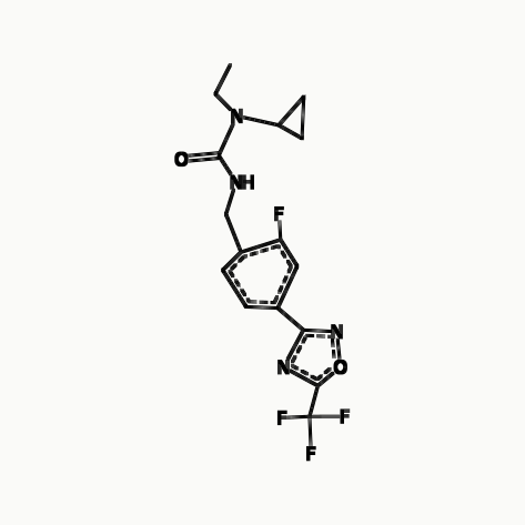 CCN(C(=O)NCc1ccc(-c2noc(C(F)(F)F)n2)cc1F)C1CC1